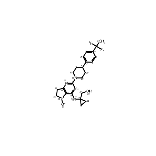 CC(F)(F)c1ccc(C2CCN(c3nc4c(c(NC5(CO)CC5)n3)[S+]([O-])CC4)CC2)cc1